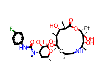 CC[C@H]1OC(=O)[C@H](C)[C@@H](O)[C@H](C)[C@@H](O[C@@H]2O[C@H](C)C[C@H](N(C)C(=O)Nc3ccc(F)cc3)[C@H]2O)[C@](C)(O)C[C@@H](C)CN[C@H](C)[C@@H](O)[C@]1(C)O